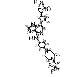 NC(=O)Oc1cc(-c2cnc(Nc3ccc(N4CCN(CC(F)(F)F)CC4)cc3)c3ncnn23)cs1